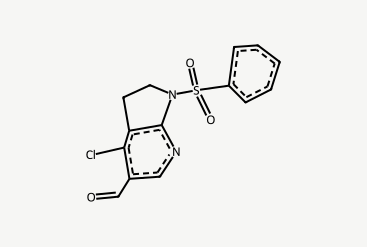 O=Cc1cnc2c(c1Cl)CCN2S(=O)(=O)c1ccccc1